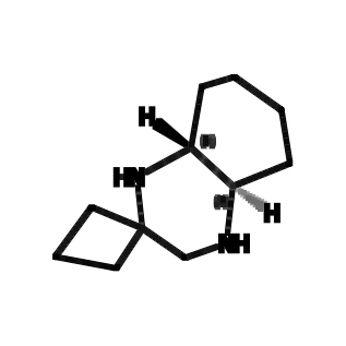 C1CC[C@H]2NC3(CCC3)CN[C@@H]2C1